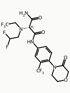 NC(=O)[C@H](C(=O)Nc1ccc(N2CCOCC2=O)c(C(F)(F)F)c1)N(CC(F)F)CC(F)(F)F